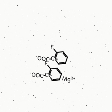 O=[C]([O-])[Ge]1=[C](F)C=CC=[CH]1.O=[C]([O-])[Ge]1=[C](F)C=CC=[CH]1.[Mg+2]